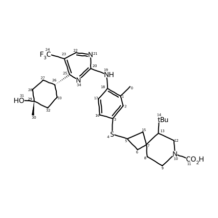 Cc1cc(SC2CC3(CCN(C(=O)O)CC3C(C)(C)C)C2)ccc1Nc1ncc(C(F)(F)F)c([C@H]2CC[C@@](C)(O)CC2)n1